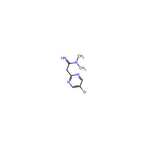 CN(C)C(=N)Cc1ncc(Br)cn1